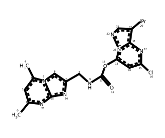 Cc1cc(C)n2cc(CNC(=O)Oc3cc(Cl)nc4c(C(C)C)cnn34)nc2n1